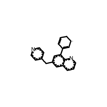 [CH]1C=C(c2cc(Cc3ccncc3)cc3cccnc23)C=CC1